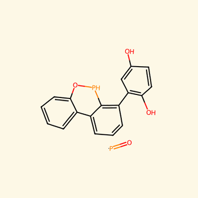 O=[P].Oc1ccc(O)c(-c2cccc3c2POc2ccccc2-3)c1